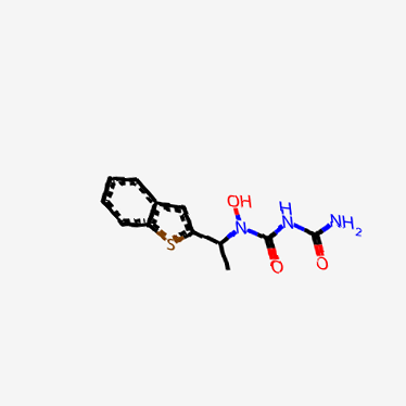 CC(c1cc2ccccc2s1)N(O)C(=O)NC(N)=O